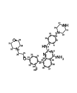 Nc1nc(Nc2ccc(N3CCNCC3)cc2)nc2c(-c3ccc(OCCN4CCOCC4)cc3F)cccc12